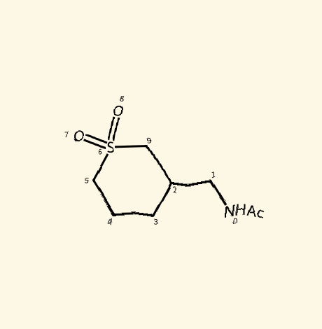 CC(=O)NCC1CCCS(=O)(=O)C1